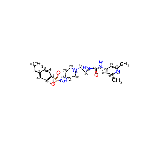 CCc1ccc(S(=O)(=O)NC2CCN(CCNC(=O)Nc3cc(C)nc(C)c3)CC2)cc1